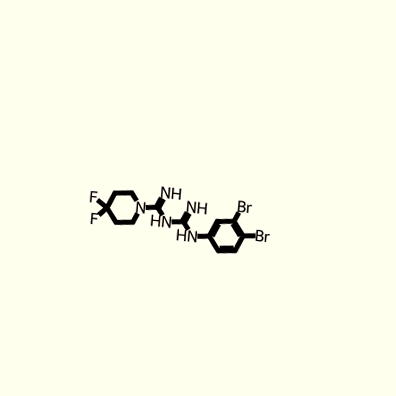 N=C(NC(=N)N1CCC(F)(F)CC1)Nc1ccc(Br)c(Br)c1